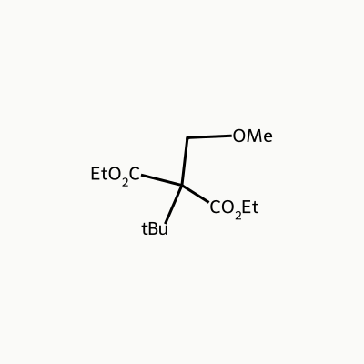 CCOC(=O)C(COC)(C(=O)OCC)C(C)(C)C